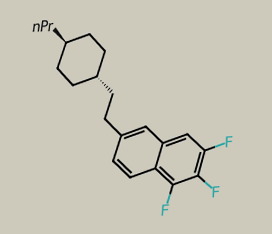 CCC[C@H]1CC[C@H](CCc2ccc3c(F)c(F)c(F)cc3c2)CC1